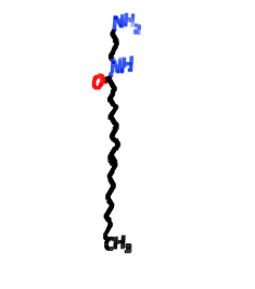 CCCCCCCCC=CCCCCCCCC(=O)NCCCN